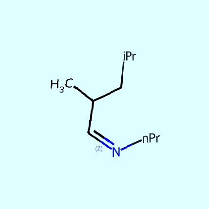 CCC/N=C\C(C)CC(C)C